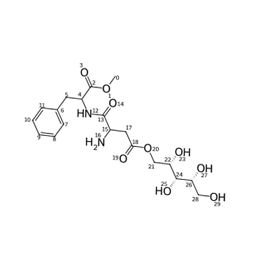 COC(=O)C(Cc1ccccc1)NC(=O)C(N)CC(=O)OC[C@H](O)[C@@H](O)[C@H](O)CO